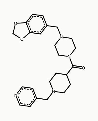 O=C(C1CCN(Cc2ccncc2)CC1)N1CCN(Cc2ccc3c(c2)OCO3)CC1